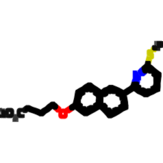 CCOC(=O)CCCOc1ccc2cc(-c3cccc(SC(C)C)n3)ccc2c1